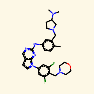 Cc1ccc(Nc2ncc3ccn(-c4cc(F)c(CN5CCOCC5)c(F)c4)c3n2)cc1CN1CCC(N(C)C)C1